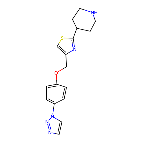 c1cn(-c2ccc(OCc3csc(C4CCNCC4)n3)cc2)nn1